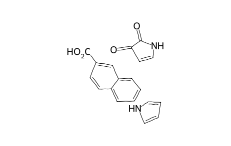 O=C(O)c1ccc2ccccc2c1.O=C1C=CNC1=O.c1cc[nH]c1